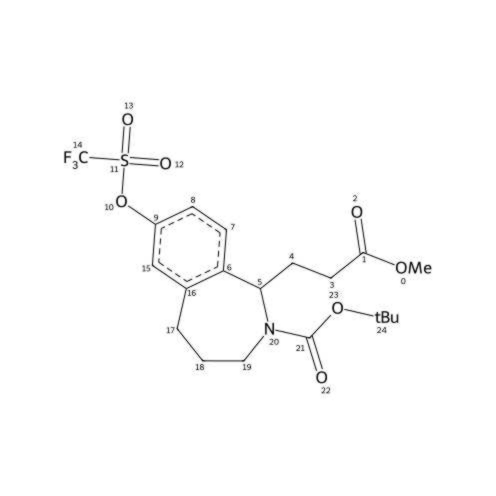 COC(=O)CCC1c2ccc(OS(=O)(=O)C(F)(F)F)cc2CCCN1C(=O)OC(C)(C)C